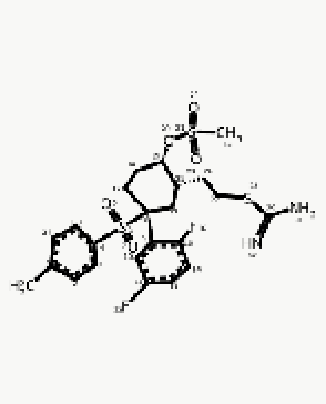 Cc1ccc(S(=O)(=O)[C@]2(c3cc(F)ccc3F)CC[C@@H](OS(C)(=O)=O)[C@H](CCSC(=N)N)C2)cc1